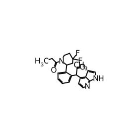 CCC(=O)N1CCC(F)(F)CC1c1ccccc1C(C(C)=O)c1ccnc2[nH]ccc12